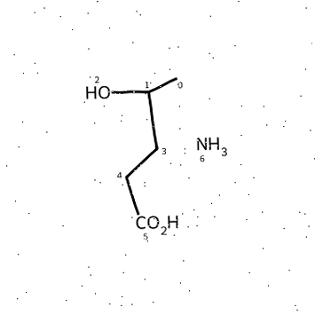 CC(O)CCC(=O)O.N